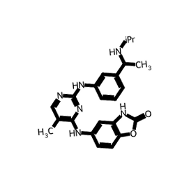 Cc1cnc(Nc2cccc(C(C)NC(C)C)c2)nc1Nc1ccc2oc(=O)[nH]c2c1